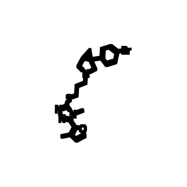 Cc1ccoc1-c1nnc(SCCCN2CC3CC3(c3ccc(Br)cc3)C2)n1C